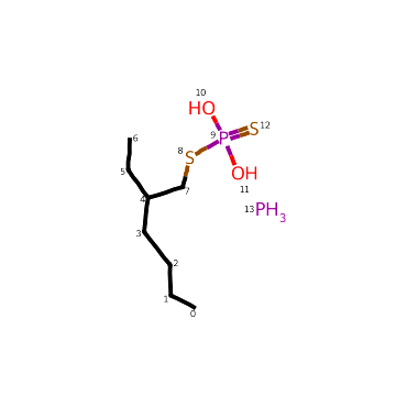 CCCCC(CC)CSP(O)(O)=S.P